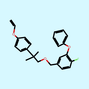 C=COc1ccc(C(C)(C)COCc2ccc(F)c(Oc3ccccc3)c2)cc1